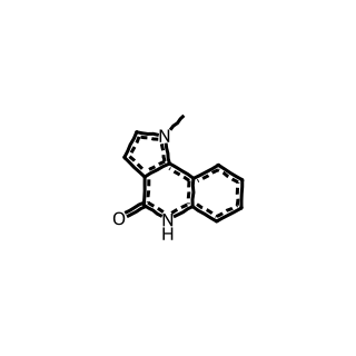 Cn1ccc2c(=O)[nH]c3ccccc3c21